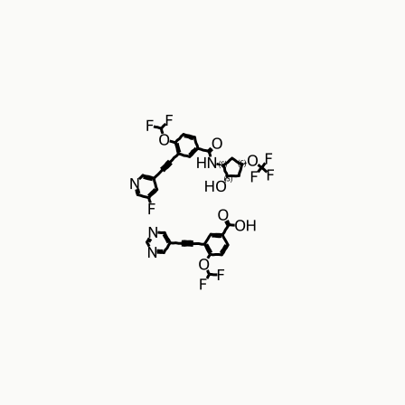 O=C(N[C@H]1C[C@H](OC(F)(F)F)C[C@@H]1O)c1ccc(OC(F)F)c(C#Cc2cncc(F)c2)c1.O=C(O)c1ccc(OC(F)F)c(C#Cc2cncnc2)c1